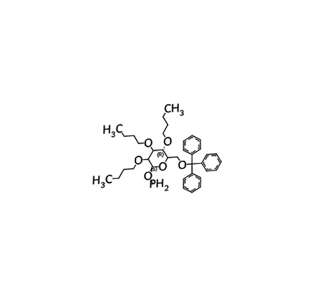 CCCCOC1C(OCCCC)[C@H](OCCCC)C(COC(c2ccccc2)(c2ccccc2)c2ccccc2)O[C@H]1OP